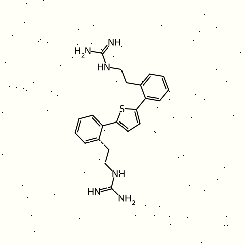 N=C(N)NCCc1ccccc1-c1ccc(-c2ccccc2CCNC(=N)N)s1